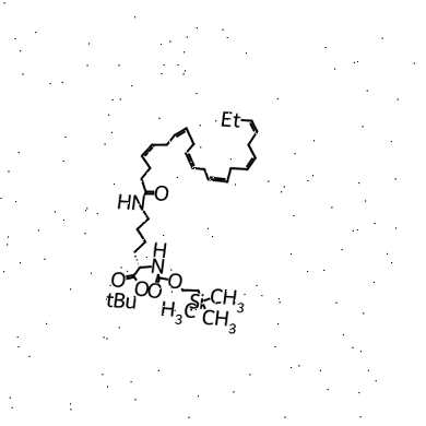 CC/C=C\C/C=C\C/C=C\C/C=C\C/C=C\C/C=C\CCC(=O)NCCCC[C@H](NC(=O)OCC[Si](C)(C)C)C(=O)OC(C)(C)C